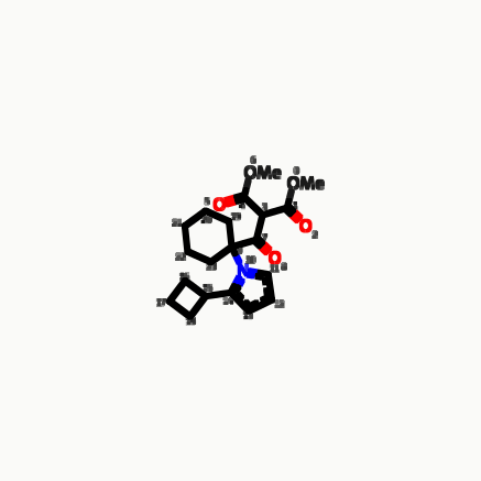 COC(=O)C(C(=O)OC)C(=O)C1(n2cccc2C2CCC2)CCCCC1